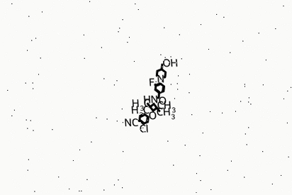 CC1(C)[C@H](NC(=O)c2ccc(N3CCC(CO)CC3)c(F)c2)C(C)(C)[C@H]1Oc1ccc(C#N)c(Cl)c1